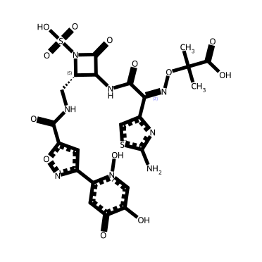 CC(C)(O/N=C(\C(=O)NC1C(=O)N(S(=O)(=O)O)[C@H]1CNC(=O)c1cc(-c2cc(=O)c(O)cn2O)no1)c1csc(N)n1)C(=O)O